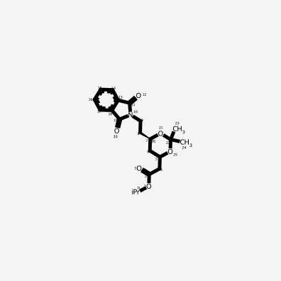 CC(C)OC(=O)CC1C[C@@H](CCN2C(=O)c3ccccc3C2=O)OC(C)(C)O1